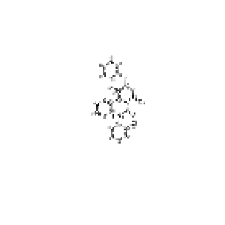 Cc1cc(=O)c(C(=O)Nc2ccccc2Cl)c(-c2ccncc2)n1Cc1ccncc1